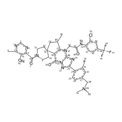 Cc1ncnc(C(=O)N2CCC3(CC2)CC(C)c2c3c(=O)n3nc(-c4ccc(CN(C)C)cc4F)nc3n2CC(=O)Nc2ccc(C(F)(F)F)cc2Cl)c1O